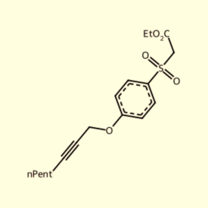 CCCCCC#CCOc1ccc(S(=O)(=O)CC(=O)OCC)cc1